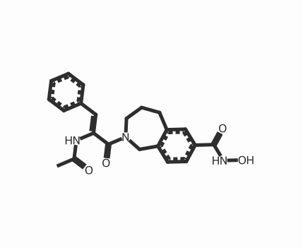 CC(=O)N/C(=C\c1ccccc1)C(=O)N1CCCc2cc(C(=O)NO)ccc2C1